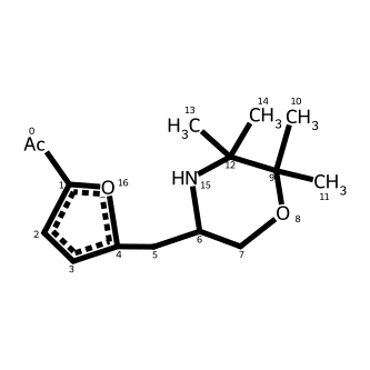 CC(=O)c1ccc(CC2COC(C)(C)C(C)(C)N2)o1